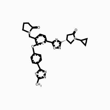 Cc1nnc(-c2ccc(Oc3cc(-c4nc([C@@H]5CC(=O)N(C6CC6)C5)no4)ccc3CN3CCCC3=O)cc2)s1